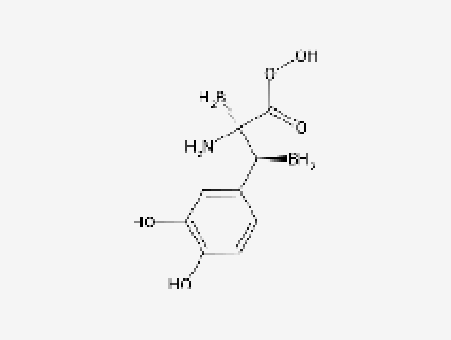 B[C@@H](c1ccc(O)c(O)c1)[C@@](B)(N)C(=O)OO